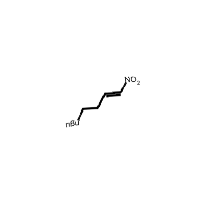 CCCCCCC=C[N+](=O)[O-]